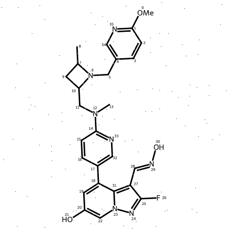 COc1ccc(CN2C(C)CC2CN(C)c2ccc(-c3cc(O)cn4nc(F)c(/C=N/O)c34)cn2)cn1